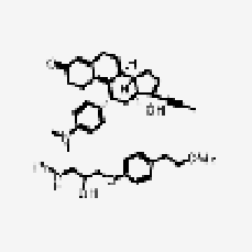 CC#C[C@]1(O)CC[C@H]2[C@@H]3CCC4=CC(=O)CCC4=C3[C@@H](c3ccc(N(C)C)cc3)C[C@@]21C.COCCc1ccc(OCC(O)CNC(C)C)cc1